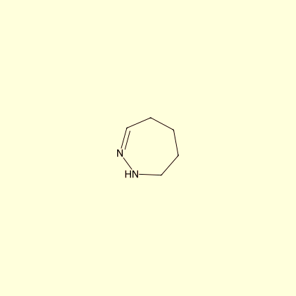 C1=NNCCCC1